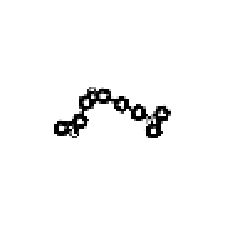 c1ccc2c(c1)oc1ccc(-c3ccc4oc5ccc(-c6ccc(-c7ccc(-n8c9ccccc9c9ccccc98)cc7)cc6)cc5c4c3)cc12